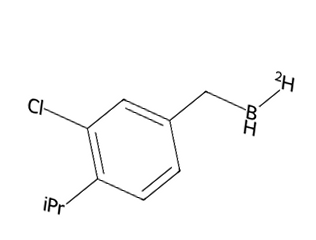 [2H]BCc1ccc(C(C)C)c(Cl)c1